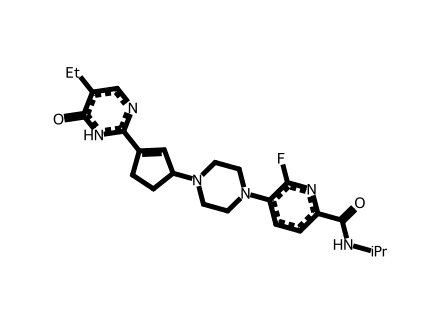 CCc1cnc(C2=CC(N3CCN(c4ccc(C(=O)NC(C)C)nc4F)CC3)CC2)[nH]c1=O